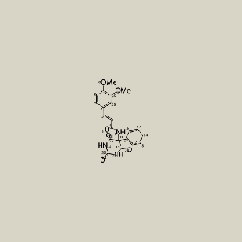 COc1ccc(C=CC(=O)NC2(c3ccccc3)C(=O)NC(=O)NC2=O)cc1OC